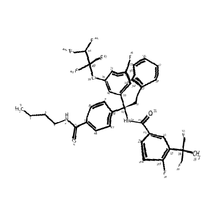 CCCCNC(=O)c1ccc([C@@](Cc2ccccc2)(NC(=O)c2ccc(F)c(C(C)(F)F)c2)c2cc(F)cc(OC(F)(F)C(F)F)c2)cc1